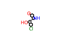 COc1ccc2[nH]cc([C@@H]3C[C@H](O)c4cc(Cl)ccc43)c2c1